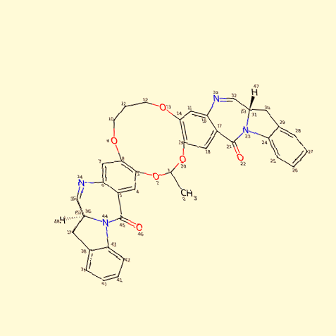 CC1Oc2cc3c(cc2OCCCOc2cc4c(cc2O1)C(=O)N1c2ccccc2C[C@H]1C=N4)N=C[C@@H]1Cc2ccccc2N1C3=O